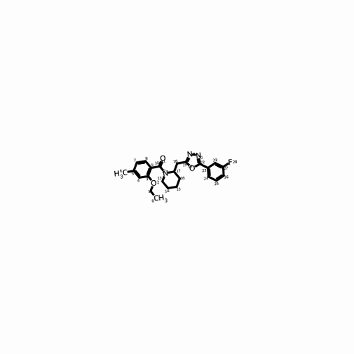 CCOc1cc(C)ccc1C(=O)N1CCCCC1Cc1nnc(-c2cccc(F)c2)o1